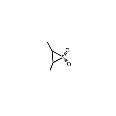 CC1C(C)S1(=O)=O